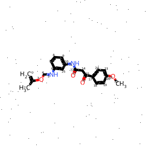 C=C(C)OCNc1cccc(NC(=O)CC(=O)c2ccc(OC)cc2)c1